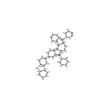 c1ccc(-n2c3ccccc3c3c4c5ccc(-c6ccc7c(c6)-c6ccccc6C7)cc5n(-c5ccccc5)c4ccc32)cc1